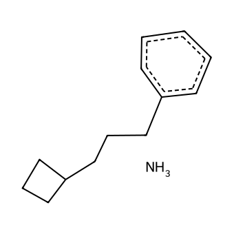 N.c1ccc(CCCC2CCC2)cc1